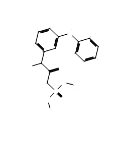 COP(=O)(CC(=O)C(C)c1cccc(Oc2ccccc2)c1)OC